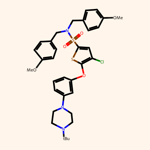 COc1ccc(CN(Cc2ccc(OC)cc2)S(=O)(=O)c2cc(Cl)c(Oc3cccc(N4CCN(C(C)(C)C)CC4)c3)s2)cc1